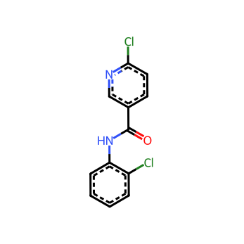 O=C(Nc1ccccc1Cl)c1ccc(Cl)nc1